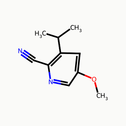 COc1cnc(C#N)c(C(C)C)c1